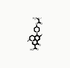 C[C@@H](N)C(=O)OC1CCN(c2c(F)cc3c(=O)c(C(=O)O)cn4c3c2CC[C@@H]4C)CC1